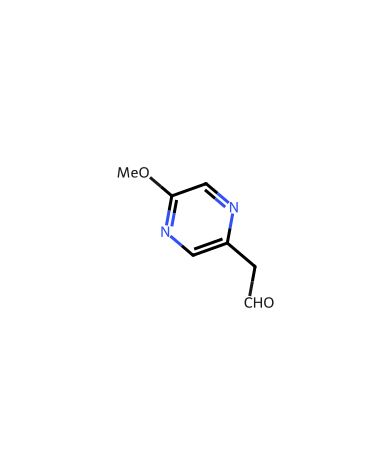 COc1cnc(CC=O)cn1